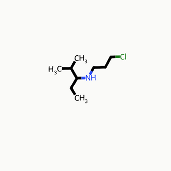 CCC(NCCCCl)C(C)C